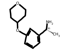 C[C@@H](N)c1cccc(OC2CCOCC2)c1